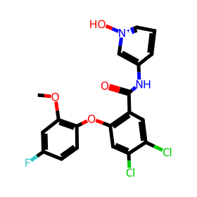 COc1cc(F)ccc1Oc1cc(Cl)c(Cl)cc1C(=O)Nc1ccc[n+](O)c1